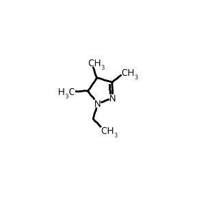 CCN1N=C(C)C(C)C1C